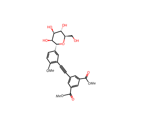 COC(=O)c1cc(C#Cc2cc([C@H]3O[C@H](CO)[C@@H](O)[C@H](O)[C@@H]3O)ccc2OC)cc(C(=O)OC)c1